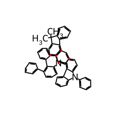 CC1(C)c2ccccc2-c2cc(N(c3cccc(-c4ccccc4)c3-c3ccccc3-c3ccccc3)c3cccc4c3c3ccccc3n4-c3ccccc3)ccc21